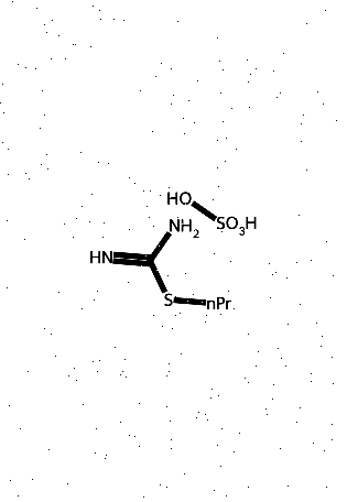 CCCSC(=N)N.O=S(=O)(O)O